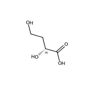 O=C(O)[C@H](O)CCO